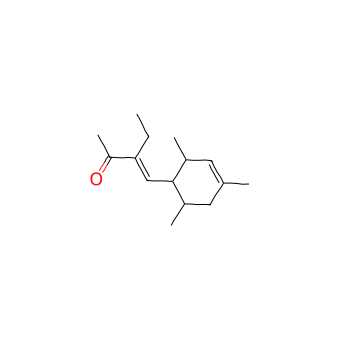 CC/C(=C\C1C(C)C=C(C)CC1C)C(C)=O